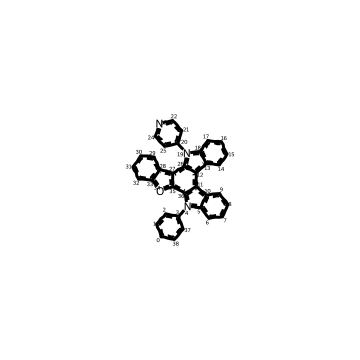 c1ccc(-n2c3ccccc3c3c4c5ccccc5n(-c5ccncc5)c4c4c5ccccc5oc4c32)cc1